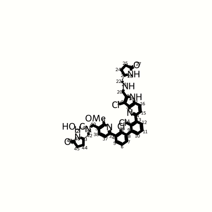 COc1nc(-c2cccc(-c3cccc(-c4ccc5[nH]c(CNC[C@@H]6CCC(=O)N6)c(Cl)c5n4)c3Cl)c2Cl)ccc1CN(C[C@@H]1CCC(=O)N1)C(=O)O